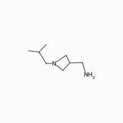 C[C](C)CN1CC(CN)C1